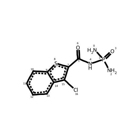 NP(N)(=O)NC(=O)c1sc2ccccc2c1Cl